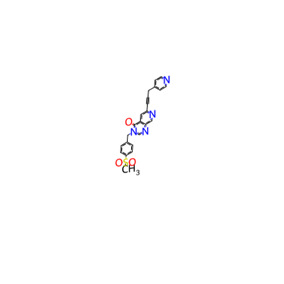 CS(=O)(=O)c1ccc(Cn2cnc3cnc(C#CCc4ccncc4)cc3c2=O)cc1